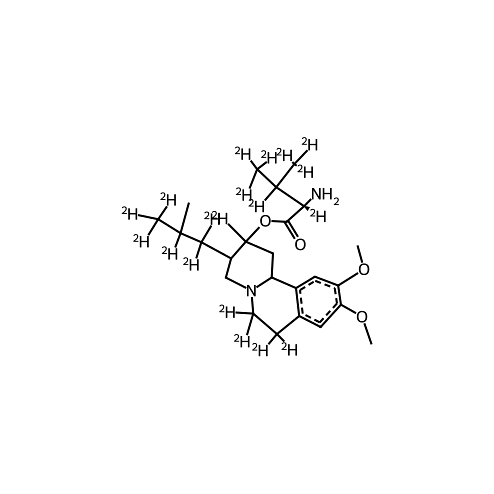 [2H]C1(OC(=O)[C@@]([2H])(N)C([2H])(C([2H])([2H])[2H])C([2H])([2H])[2H])CC2c3cc(OC)c(OC)cc3C([2H])([2H])C([2H])([2H])N2CC1C([2H])([2H])C([2H])(C)C([2H])([2H])[2H]